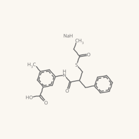 CCC(=O)SCC(Cc1ccccc1)C(=O)Nc1cc(C)cc(C(=O)O)c1.[NaH]